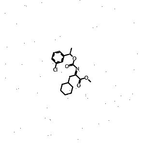 COC(=O)/C(CC1CCCCC1)=N/C(=O)OC(C)c1cccc(Cl)c1